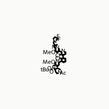 COc1nc(-c2cccc(-c3ccnc(-c4cc(OC)c5nc(CN6CCC(F)(F)C6)cn5c4)c3Cl)c2Cl)ccc1CN(C(=O)OC(C)(C)C)C1CCN(C(C)=O)CC1